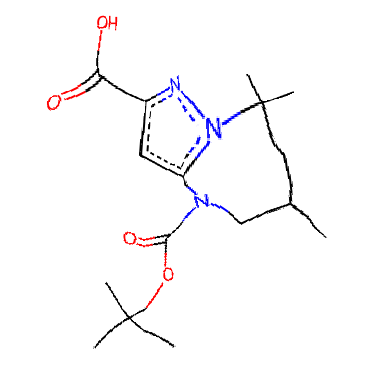 CC1CN(C(=O)OC(C)(C)C)c2cc(C(=O)O)nn2C(C)(C)C1